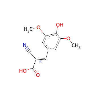 COc1cc(/C=C(\C#N)C(=O)O)cc(OC)c1O